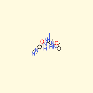 CCc1ccccc1NC(=O)N1Cc2c(NC(=O)c3ccc(N4CCN(C)CC4)cc3)n[nH]c2C1(C)C